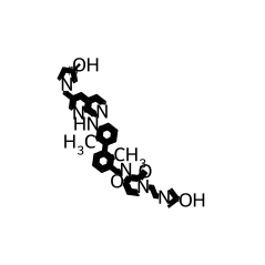 Cc1c(Nc2nccc3cc(CN4CC[C@@H](O)C4)cnc23)cccc1-c1cccc(-c2nc3c(=O)n(CCN4CC(O)C4)ccc3o2)c1C